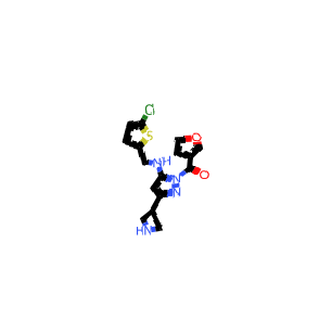 O=C(c1ccoc1)n1nc(C2CNC2)cc1NCc1ccc(Cl)s1